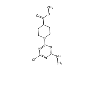 CNc1nc(Cl)nc(N2CCC(C(=O)OC)CC2)n1